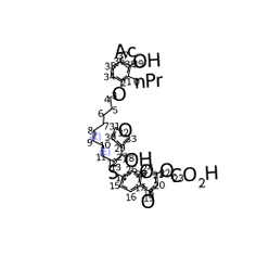 CCCc1c(OCCCC/C=C\C=C\C(Sc2ccc3c(=O)cc(OC(=O)O)oc3c2)C(O)c2ccoc2)ccc(C(C)=O)c1O